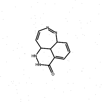 O=C1NNC2C=CN=NC3C=CC=C1C32